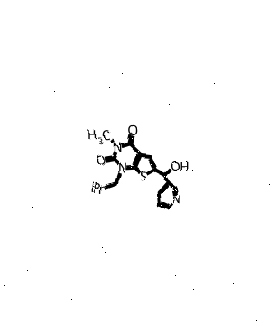 CC(C)Cn1c(=O)n(C)c(=O)c2cc(C(O)c3cccnc3)sc21